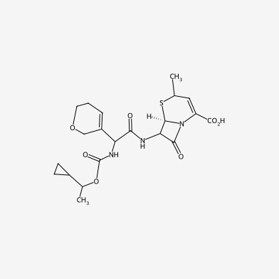 CC1C=C(C(=O)O)N2C(=O)C(NC(=O)C(NC(=O)OC(C)C3CC3)C3=CCCOC3)[C@H]2S1